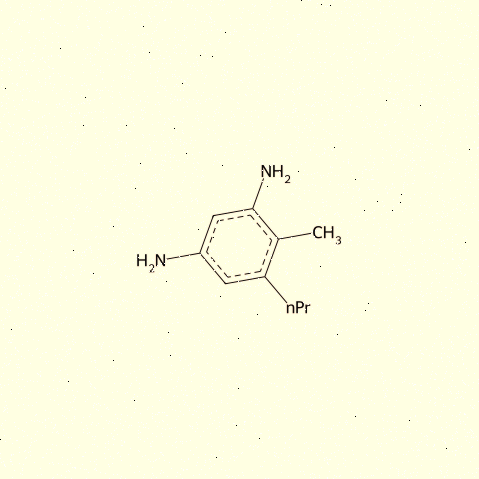 CCCc1cc(N)cc(N)c1C